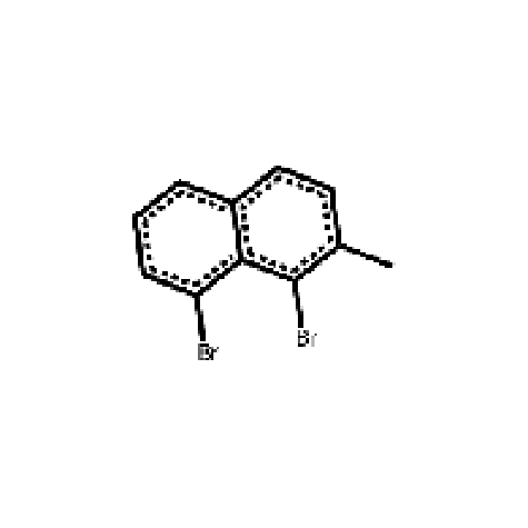 Cc1ccc2cccc(Br)c2c1Br